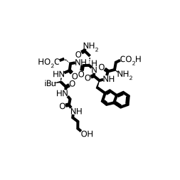 CC[C@H](C)[C@H](NC(=O)[C@H](CC(=O)O)NC(=O)[C@H](CC(N)=O)NC(=O)[C@H](Cc1ccc2ccccc2c1)NC(=O)[C@@H](N)CC(=O)O)C(=O)NCC(=O)NCCCO